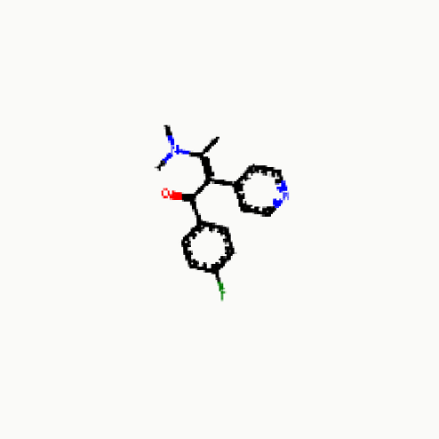 C/C(=C(/C(=O)c1ccc(F)cc1)c1ccncc1)N(C)C